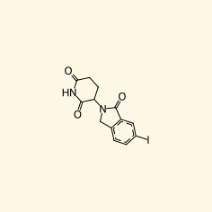 O=C1CCC(N2Cc3ccc(I)cc3C2=O)C(=O)N1